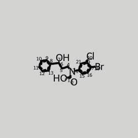 O=C(O)N(CC[C@H](O)c1ccccc1)c1ccc(Br)c(Cl)c1